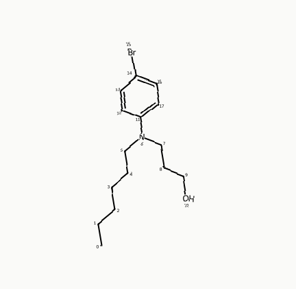 CCCCCCN(CCCO)c1ccc(Br)cc1